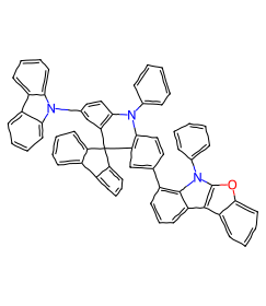 c1ccc(N2c3ccc(-c4cccc5c6c7ccccc7oc6n(-c6ccccc6)c45)cc3C3(c4ccccc4-c4ccccc43)c3cc(-n4c5ccccc5c5ccccc54)ccc32)cc1